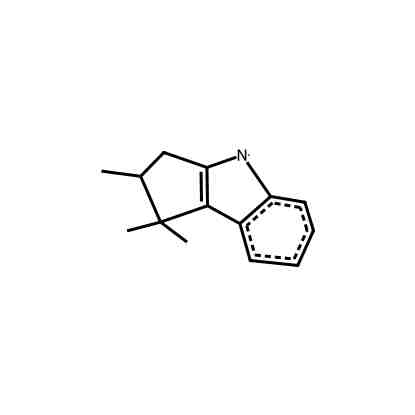 CC1CC2=C(c3ccccc3[N]2)C1(C)C